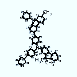 CC1C=Cc2c(n(-c3ccccc3)c3ccc(-c4ccc(N(c5ccc(C6C=CC=NC6)cc5)c5ccc6c(c5)C(C)(C)c5ccccc5-6)cc4)cc23)C1